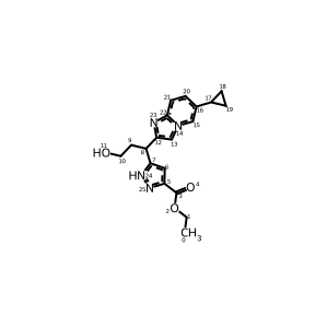 CCOC(=O)c1cc(C(CCO)c2cn3cc(C4CC4)ccc3n2)[nH]n1